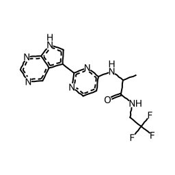 CC(Nc1ccnc(-c2c[nH]c3ncncc23)n1)C(=O)NCC(F)(F)F